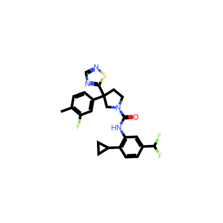 Cc1ccc(C2(c3ncns3)CCN(C(=O)Nc3cc(C(F)F)ccc3C3CC3)C2)cc1F